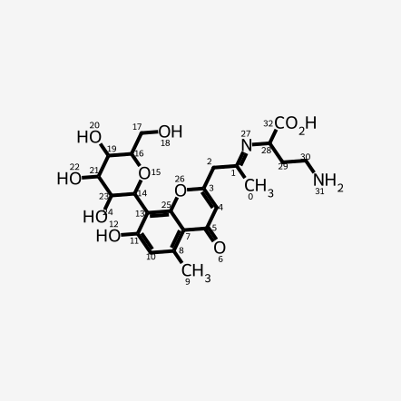 C/C(Cc1cc(=O)c2c(C)cc(O)c(C3OC(CO)C(O)C(O)C3O)c2o1)=N\C(CCN)C(=O)O